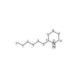 CCCCC[CH]C1CCCCN1